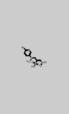 CN(CC(=C[N+](=O)[O-])S(=O)(=O)O)c1ccc(Br)nc1